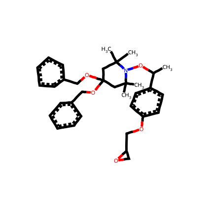 CC(ON1C(C)(C)CC(OCc2ccccc2)(OCc2ccccc2)CC1(C)C)c1ccc(OCC2CO2)cc1